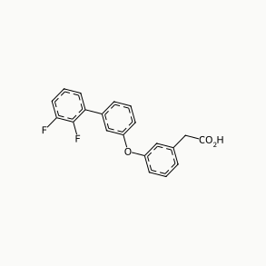 O=C(O)Cc1cccc(Oc2cccc(-c3cccc(F)c3F)c2)c1